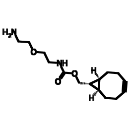 NCCOCCNC(=O)OC[C@H]1[C@@H]2CCC#CCC[C@@H]21